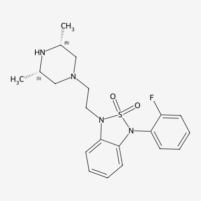 C[C@@H]1CN(CCN2c3ccccc3N(c3ccccc3F)S2(=O)=O)C[C@H](C)N1